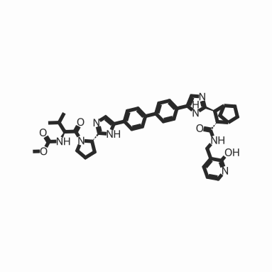 COC(=O)N[C@H](C(=O)N1CCC[C@H]1c1ncc(-c2ccc(-c3ccc(-c4cnc([C@H]5C6CCC(C6)[C@@H]5C(=O)NCc5cccnc5O)[nH]4)cc3)cc2)[nH]1)C(C)C